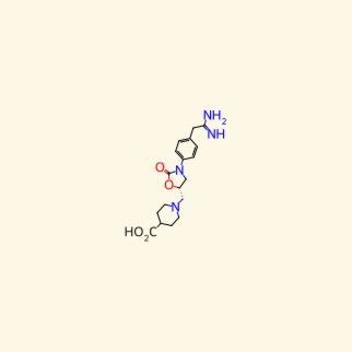 N=C(N)Cc1ccc(N2C[C@H](CN3CCC(C(=O)O)CC3)OC2=O)cc1